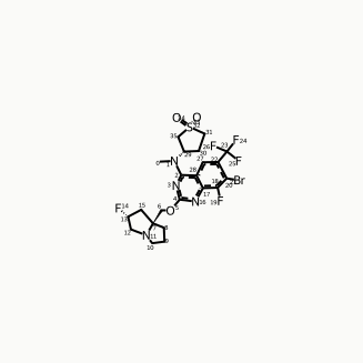 CN(c1nc(OC[C@@]23CCCN2C[C@H](F)C3)nc2c(F)c(Br)c(C(F)(F)F)cc12)[C@H]1CCS(=O)(=O)C1